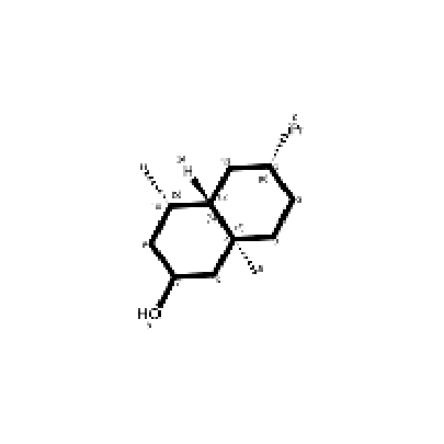 CC(C)[C@@H]1CC[C@@]2(C)CC(O)C[C@H](C)[C@@H]2C1